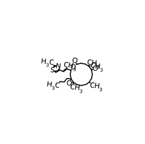 CCCCC12CC(C(C)=Cc3csc(C)n3)OC(=O)CCC(C)(C)C(=O)CCC(C)CCCC1(C)O2